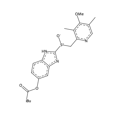 CCC(C)C(=O)Oc1ccc2[nH]c([S+]([O-])Cc3ncc(C)c(OC)c3C)nc2c1